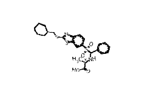 C[C@@H](NC(c1ccccc1)S(=O)(=O)c1ccc2nc(SCC3CCCCC3)sc2c1)C(=O)O